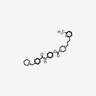 Cc1cccc(CCCN2CCN(C(=O)Oc3ccc(NC(=O)c4ccc(CN5CCCCC5)cc4)cc3)CC2)n1